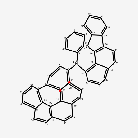 c1ccc(N(c2ccc(-c3cccc4ccc5ccc6ccccc6c5c34)cc2)c2cccc3ccc4c5ccccc5oc4c23)cc1